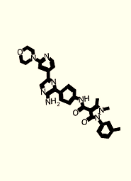 Cc1cccc(-n2c(=O)c(C(=O)Nc3ccc(-c4nc(-c5ccnc(N6CCOCC6)c5)cnc4N)cc3)c(C)n2C)c1